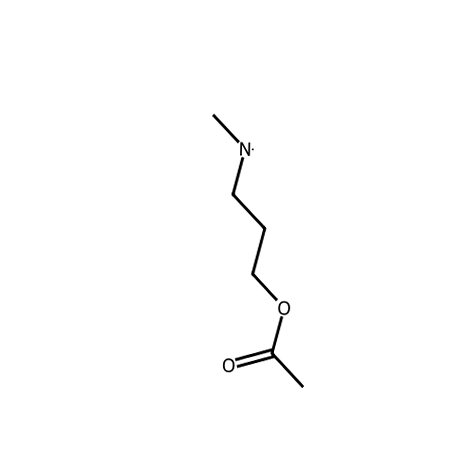 C[N]CCCOC(C)=O